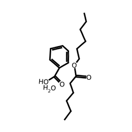 CCCCCCOC(=O)CCCCC.O.O=C(O)c1ccccc1